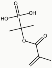 C=C(C)C(=O)OC(C)(C)P(=O)(O)O